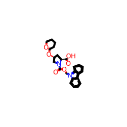 O=C(O)[C@@H]1C[C@H](OC2CCCCO2)CN1C(=O)OCn1c2ccccc2c2ccccc21